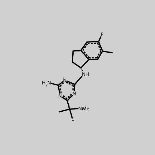 CNC(C)(F)c1nc(N)nc(N[C@@H]2CCc3cc(F)c(C)cc32)n1